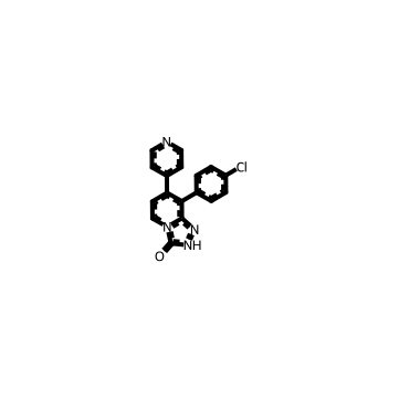 O=c1[nH]nc2c(-c3ccc(Cl)cc3)c(-c3ccncc3)ccn12